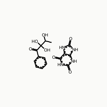 CC(O)C(O)(O)C(=O)c1ccccc1.O=c1[nH]c(=O)c2[nH]c(=O)[nH]c2[nH]1